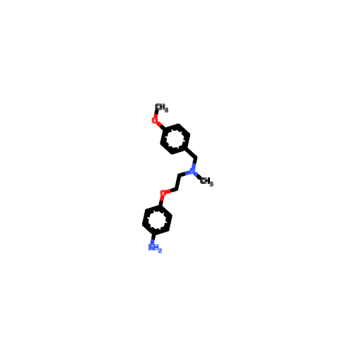 COc1ccc(CN(C)CCOc2ccc(N)cc2)cc1